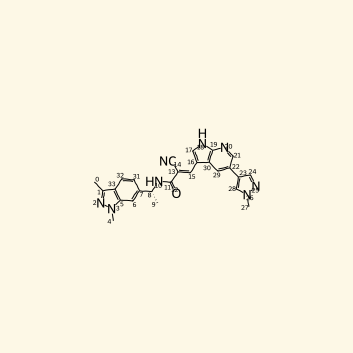 Cc1nn(C)c2cc([C@@H](C)NC(=O)/C(C#N)=C/c3c[nH]c4ncc(-c5cnn(C)c5)cc34)ccc12